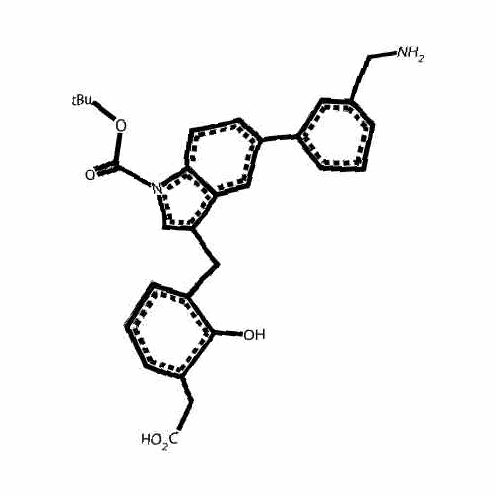 CC(C)(C)OC(=O)n1cc(Cc2cccc(CC(=O)O)c2O)c2cc(-c3cccc(CN)c3)ccc21